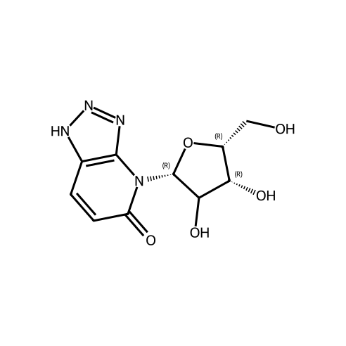 O=c1ccc2[nH]nnc2n1[C@@H]1O[C@H](CO)[C@H](O)C1O